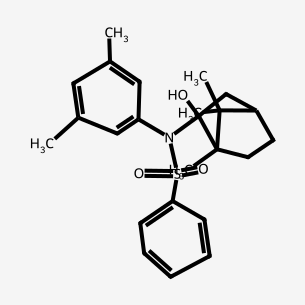 Cc1cc(C)cc(N(C2(O)CC3CCC2(C)C3(C)C)S(=O)(=O)c2ccccc2)c1